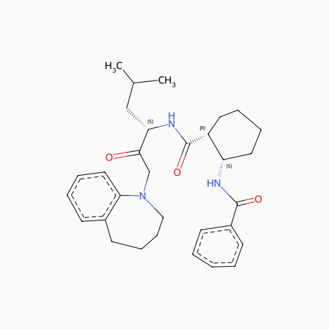 CC(C)C[C@H](NC(=O)[C@@H]1CCCC[C@@H]1NC(=O)c1ccccc1)C(=O)CN1CCCCc2ccccc21